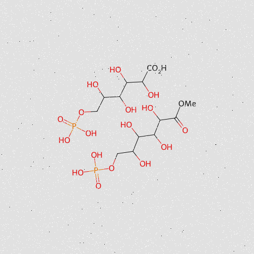 COC(=O)C(O)C(O)C(O)C(O)COP(=O)(O)O.O=C(O)C(O)C(O)C(O)C(O)COP(=O)(O)O